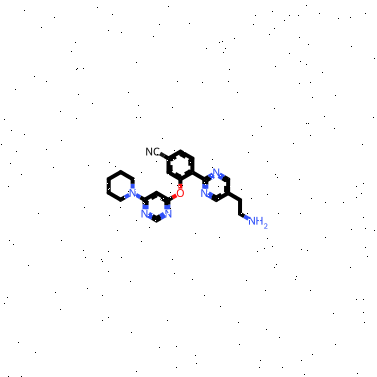 N#Cc1ccc(-c2ncc(CCN)cn2)c(Oc2cc(N3CCCCC3)ncn2)c1